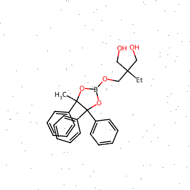 CCC(CO)(CO)COB1OC(C)(c2ccccc2)C(c2ccccc2)(c2ccccc2)O1